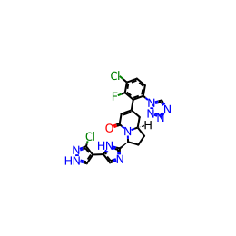 O=C1C=C(c2c(-n3cnnn3)ccc(Cl)c2F)C[C@H]2CC[C@@H](c3ncc(-c4c[nH]nc4Cl)[nH]3)N12